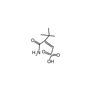 CC(C)(C)C(=CS(=O)(=O)O)C(N)=O